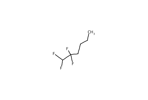 CCCCC(F)(F)C(F)F